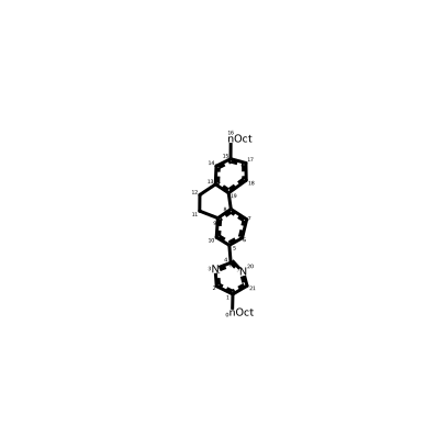 CCCCCCCCc1cnc(-c2ccc3c(c2)CCc2cc(CCCCCCCC)ccc2-3)nc1